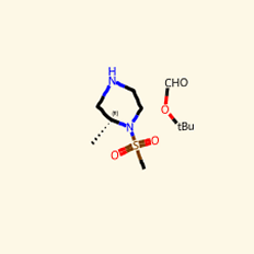 CC(C)(C)OC=O.C[C@@H]1CNCCN1S(C)(=O)=O